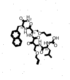 C=CCOCC(NC(=O)[C@H](CC(C)C)NC(=O)O)C(=O)C(=O)N[C@@H](COCC=C)C(=O)N[C@@H](Cc1ccc2ccccc2c1)C(N)=O